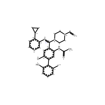 CC(=O)Nc1cc(-c2c(O)cccc2F)c(Cl)cc1/C(=N\c1cnccc1C1CC1)N1CCN(C=O)CC1